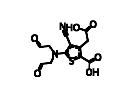 N#Cc1c(N(CC=O)CC=O)sc(C(=O)O)c1CC(=O)O